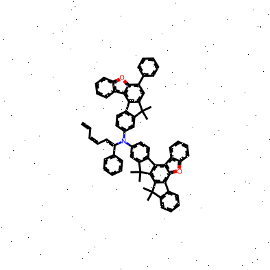 C=C/C=C\C=C(/c1ccccc1)N(c1ccc2c(c1)C(C)(C)c1cc(-c3ccccc3)c3oc4ccccc4c3c1-2)c1ccc2c(c1)C(C)(C)c1c3c(c4oc5ccccc5c4c1-2)-c1ccccc1C3(C)C